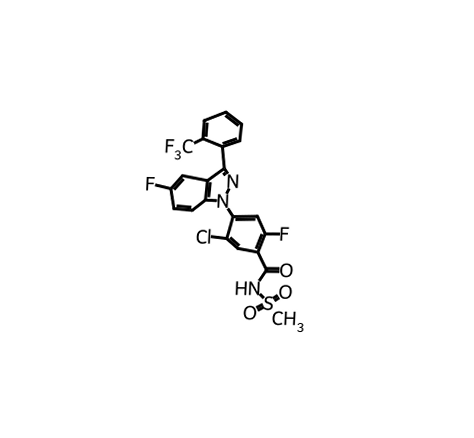 CS(=O)(=O)NC(=O)c1cc(Cl)c(-n2nc(-c3ccccc3C(F)(F)F)c3cc(F)ccc32)cc1F